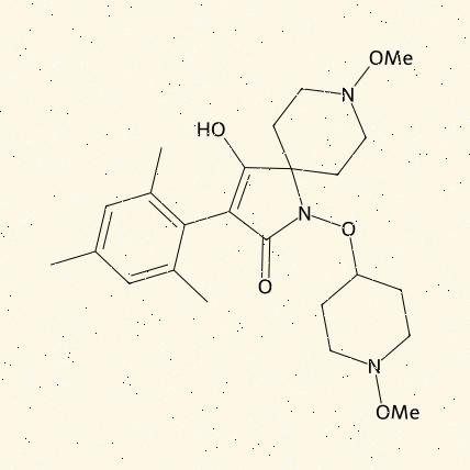 CON1CCC(ON2C(=O)C(c3c(C)cc(C)cc3C)=C(O)C23CCN(OC)CC3)CC1